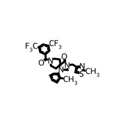 Cc1nc(CN2CN(c3ccccc3C)C3(CCN(C(=O)c4cc(C(F)(F)F)cc(C(F)(F)F)c4)CC3)C2=O)cs1